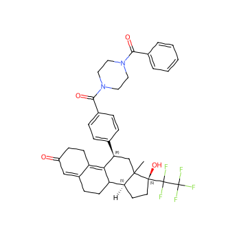 CC12C[C@H](c3ccc(C(=O)N4CCN(C(=O)c5ccccc5)CC4)cc3)C3=C4CCC(=O)C=C4CCC3[C@@H]1CC[C@@]2(O)C(F)(F)C(F)(F)F